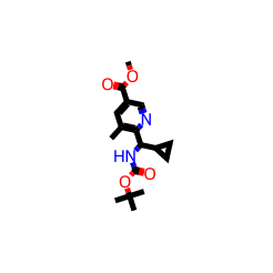 COC(=O)c1cnc(C(NC(=O)OC(C)(C)C)C2CC2)c(C)c1